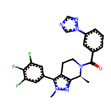 C[C@H]1c2nn(C)c(-c3cc(F)c(F)c(F)c3)c2CCN1C(=O)c1cccc(-n2cncn2)c1